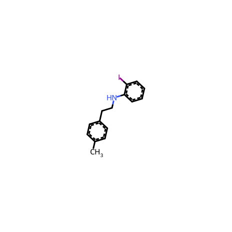 Cc1ccc(CCNc2ccccc2I)cc1